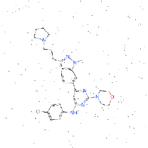 Cn1nc(CCCN2CCCC2)c2ccc(-c3cc(Nc4ccc(Cl)cc4)nc(N4CCOCC4)n3)cc21